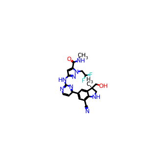 CNC(=O)c1cc(Nc2nccc(-c3cc(C#N)c4c(c3)[C@@](C)(CO)CN4)n2)nn1CC(F)F